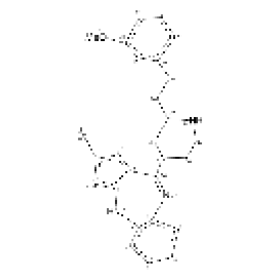 CCc1nc2c(s1)Nc1ccccc1N=C2N1CCNC(CCc2cccc(OC)c2)C1